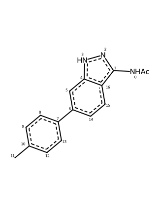 CC(=O)Nc1n[nH]c2cc(-c3ccc(C)cc3)ccc12